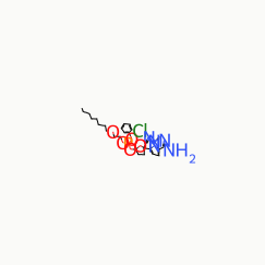 CCCCCCCCOCCOP(Oc1ccccc1Cl)OC1CCC(C#N)(c2ccc3c(N)ncnn23)O1